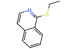 CCSc1nccc2ccccc12